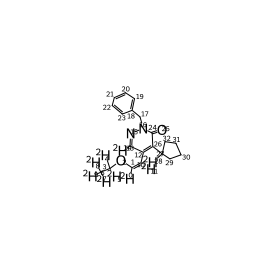 [2H]C(OC([2H])([2H])C([2H])([2H])[2H])=C([2H])c1c([2H])nn(Cc2ccccc2)c(=O)c1C1([2H])CCCC1